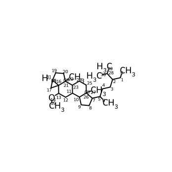 CCC(CCC(C)C1CCC2C3CC(OC)C45C[C@H]4CC[C@]5(C)C3CC[C@]12C)C(C)C